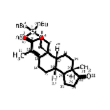 CCCC[Si](CCCC)(CCCC)OC[C@]12CCC(=O)C(C)=C1CC[C@@H]1[C@H]2CC[C@]2(C)C(=O)CC[C@@H]12